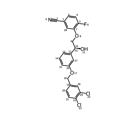 N#Cc1ccc(F)c(OC[C@@H](O)c2cccc(OCc3ccc(Cl)c(Cl)c3)c2)c1